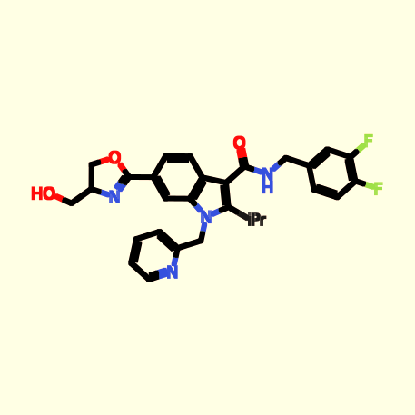 CC(C)c1c(C(=O)NCc2ccc(F)c(F)c2)c2ccc(C3=NC(CO)CO3)cc2n1Cc1ccccn1